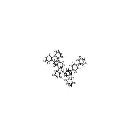 c1ccc(-c2oc3c(ccc4c3c3ccccc3n4-c3nc(-c4ccncc4)nc(-c4ccc(-c5ccncc5)cc4)n3)c2-c2ccccc2)cc1